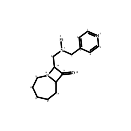 CCN(Cc1ccncc1)CC1C(=O)C2CCCCCN21